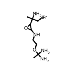 CC(C)CC(C)(N)C1OC1NCCOC(C)(N)N